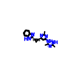 CC(=N)/N=C(/C)Nc1cc([C@H]2C[C@@H]2c2nc3ccccc3[nH]2)nc(C)n1